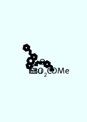 CCCCc1ccc2c(c1)C(N(C)CCOc1ccc(CC(OC)C(=O)OCC)cc1)c1cccc(CCc3ccccc3)c1CC2